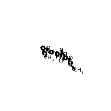 COCCN1CCN(C(=O)c2cc(Cl)c(N/C(=N/C#N)N3CCN(c4ccc(NC(=O)c5ccccc5C5CCN(C)CC5)cc4)CC3)c(Cl)c2)CC1